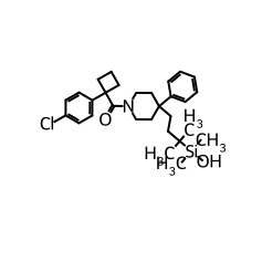 CC(C)(CCC1(c2ccccc2)CCN(C(=O)C2(c3ccc(Cl)cc3)CCC2)CC1)[Si](C)(C)O